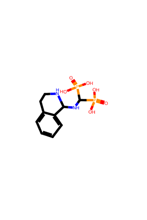 O=P(O)(O)C(NC1NCCc2ccccc21)P(=O)(O)O